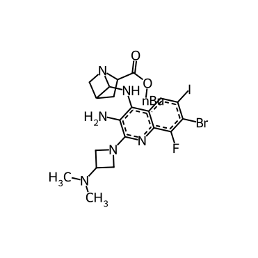 CCCCOC(=O)C1CC2CN1C2Nc1c(N)c(N2CC(N(C)C)C2)nc2c(F)c(Br)c(I)cc12